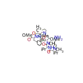 CC[C@H](C)C([C@@H](CC(=O)N1CCC[C@H]1[C@H](OC)[C@@H](C)C(=O)N[C@@H](Cc1ccccc1)C(=O)OC)OC)N(C)C(=O)[C@@H](NC(=O)C(C(C)C)N(C)CCCCN)C(C)C